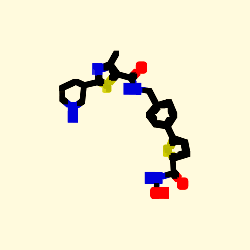 Cc1nc(C2CCCNC2)sc1C(=O)NCc1ccc(-c2ccc(C(=O)NO)s2)cc1